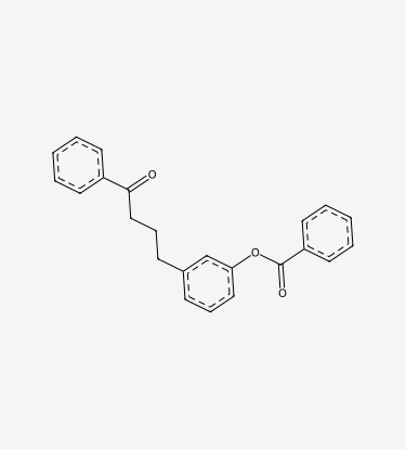 O=C(CCCc1cccc(OC(=O)c2ccccc2)c1)c1ccccc1